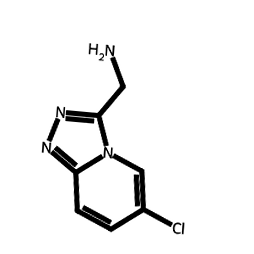 NCc1nnc2ccc(Cl)cn12